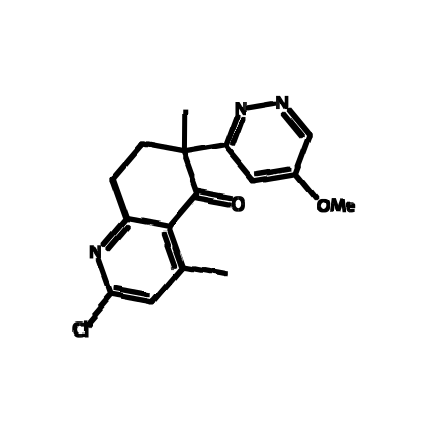 COc1cnnc(C2(C)CCc3nc(Cl)cc(C)c3C2=O)c1